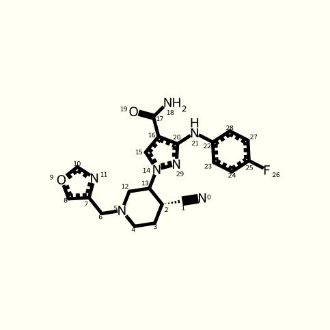 N#C[C@@H]1CCN(Cc2cocn2)CC1n1cc(C(N)=O)c(Nc2ccc(F)cc2)n1